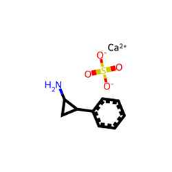 NC1CC1c1ccccc1.O=S(=O)([O-])[O-].[Ca+2]